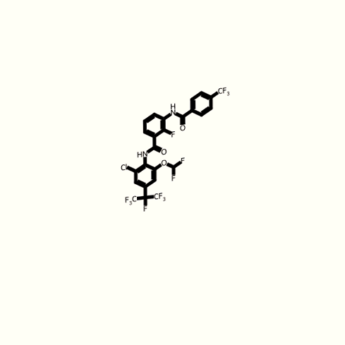 O=C(Nc1cccc(C(=O)Nc2c(Cl)cc(C(F)(C(F)(F)F)C(F)(F)F)cc2OC(F)F)c1F)c1ccc(C(F)(F)F)cc1